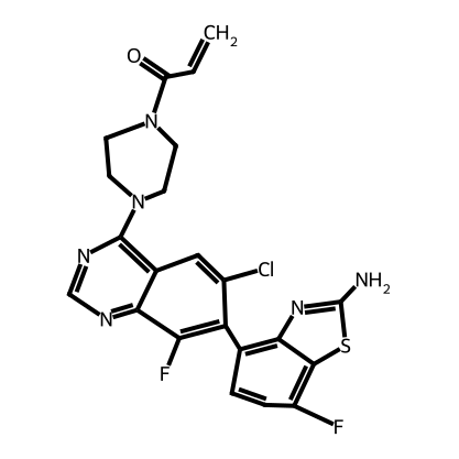 C=CC(=O)N1CCN(c2ncnc3c(F)c(-c4ccc(F)c5sc(N)nc45)c(Cl)cc23)CC1